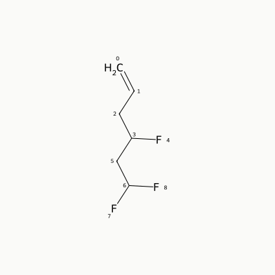 C=CCC(F)CC(F)F